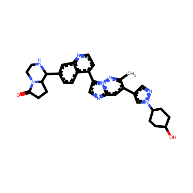 Cc1nn2c(-c3ccnc4cc(C5NCCN6C(=O)CCC56)ccc34)cnc2cc1-c1cnn(C2CCC(O)CC2)c1